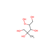 CC(O)(CO)C(O)C(CO)OO